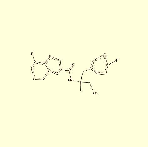 CC(Cc1ccc(F)nc1)(CC(F)(F)F)NC(=O)c1cnc2c(F)cccc2c1